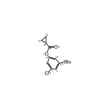 CC(C)(C)c1cc(Cl)cc(OC(=O)C2CC2)c1